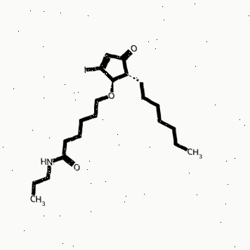 CCCCCCC[C@H]1C(=O)C=C(I)[C@@H]1OCCCCCC(=O)NCCC